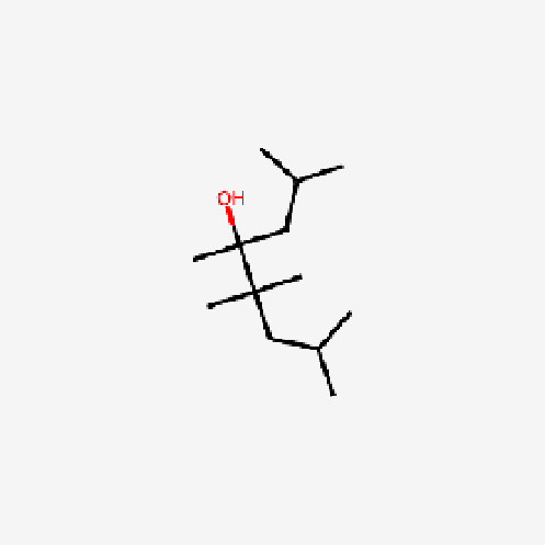 CC(C)CC(C)(C)C(C)(O)CC(C)C